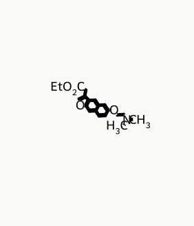 CCOC(=O)Cc1coc2cc3ccc(OCCN(C)C)cc3cc12